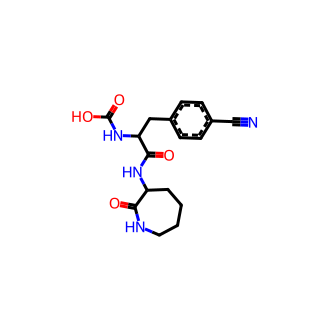 N#Cc1ccc(CC(NC(=O)O)C(=O)NC2CCCCNC2=O)cc1